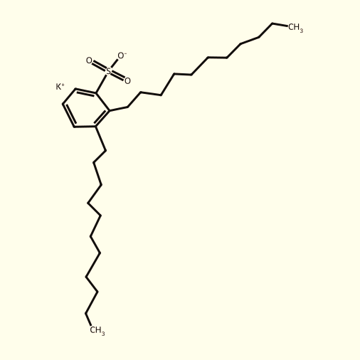 CCCCCCCCCCCc1cccc(S(=O)(=O)[O-])c1CCCCCCCCCCC.[K+]